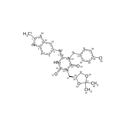 Cc1nc2ccc(/N=c3\[nH]c(=O)n(C[C@H]4COC(C)(C)O4)c(=O)n3Cc3ccc(Cl)cc3)cc2s1